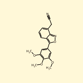 COc1cc(-c2onc3c(CC#N)cccc23)cc(OC)c1OC